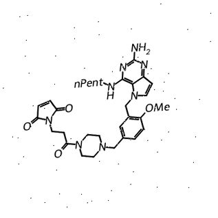 CCCCCNc1nc(N)nc2ccn(Cc3cc(CN4CCN(C(=O)CCN5C(=O)C=CC5=O)CC4)ccc3OC)c12